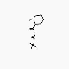 CN1CCCCC1C(=O)OC(=O)OC(C)(C)C